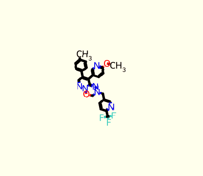 COc1ccc(C2=C(c3ccc(C)cc3)C=NN3OCN(Cc4ccc(C(F)(F)F)nc4)N=C23)cn1